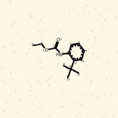 CCOC(=O)Nc1ccccc1C(C)(C)C